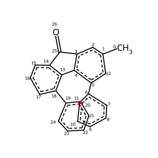 Cc1cc2c(c(-c3ccccc3)c1)-c1c(cccc1-c1ccccc1)C2=O